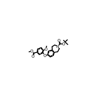 COC(=O)c1ccc(OC)c(Oc2ccc3c(c2)CCN(C(=O)OC(C)(C)C)CC3)c1